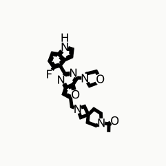 CC(=O)N1CCC2(CC1)CN(Cc1cc3nc(-c4c(F)ccc5[nH]ccc45)nc(N4CCOCC4)c3o1)C2